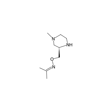 CC(C)=NOC[C@H]1CN(C)CCN1